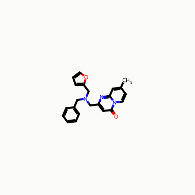 Cc1ccn2c(=O)cc(CN(Cc3ccccc3)Cc3ccco3)nc2c1